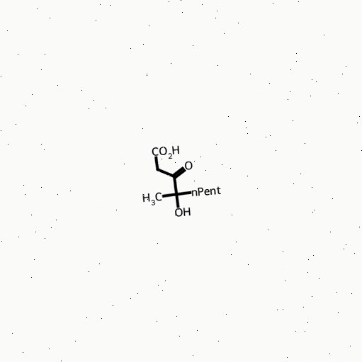 CCCCCC(C)(O)C(=O)CC(=O)O